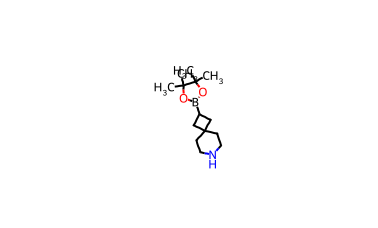 CC1(C)OB(C2CC3(CCNCC3)C2)OC1(C)C